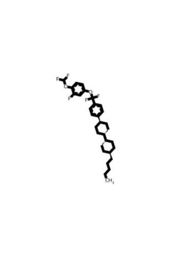 CCCCC[C@H]1CC[C@H]([C@H]2CC[C@H](c3ccc(C(F)(F)Oc4ccc(OC(F)F)c(F)c4)cc3)CC2)CC1